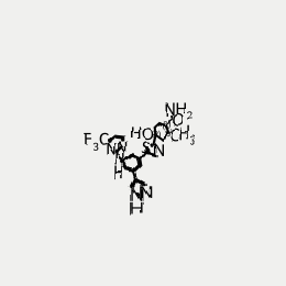 C[C@H]1C[C@@](O)(c2ncc(-c3cc(Nc4nccc(C(F)(F)F)n4)cc(-c4cn[nH]c4)c3)s2)CC[C@H]1C(N)=O